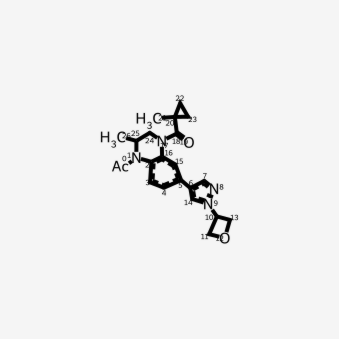 CC(=O)N1c2ccc(-c3cnn(C4COC4)c3)cc2N(C(=O)C2(C)CC2)CC1C